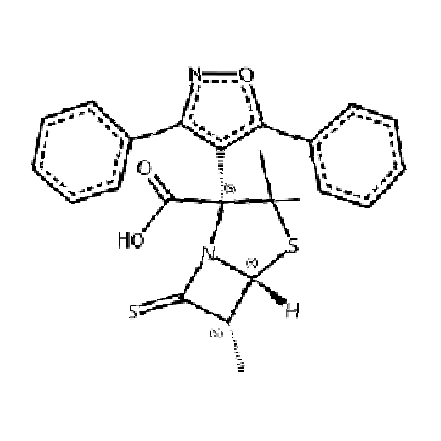 C[C@@H]1C(=S)N2[C@@H]1SC(C)(C)[C@@]2(C(=O)O)c1c(-c2ccccc2)noc1-c1ccccc1